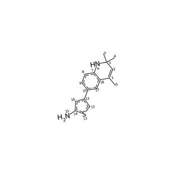 CC1=CC(C)(C)Nc2ccc(-c3csc(N)c3)cc21